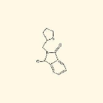 O=C1c2ccccc2C(=O)N1CC1CCCS1